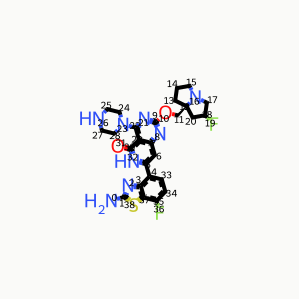 Nc1nc2c(-c3cc4nc(OC[C@@]56CCCN5CC(F)C6)nc(N5CCNCC5)c4c(=O)[nH]3)ccc(F)c2s1